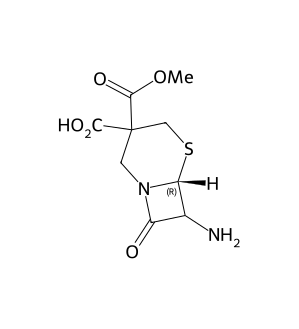 COC(=O)C1(C(=O)O)CS[C@@H]2C(N)C(=O)N2C1